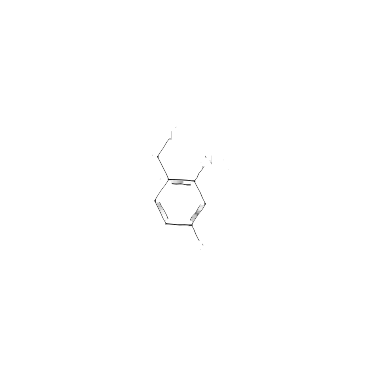 CC(=O)c1ccc(CI)c([N+](=O)[O-])c1